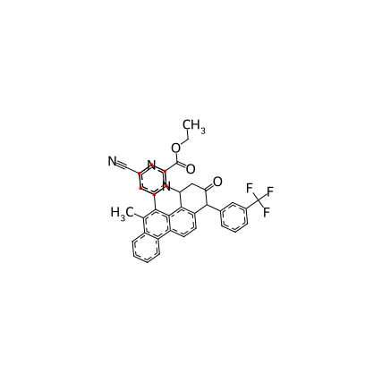 CCOC(=O)c1nccc(-c2c(C)c3ccccc3c3ccc4c(c23)C(c2ccc(C#N)cc2)CC(=O)C4c2cccc(C(F)(F)F)c2)n1